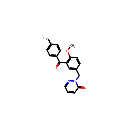 COc1ccc(Cn2ncccc2=O)cc1C(=O)c1ccc(C)cc1